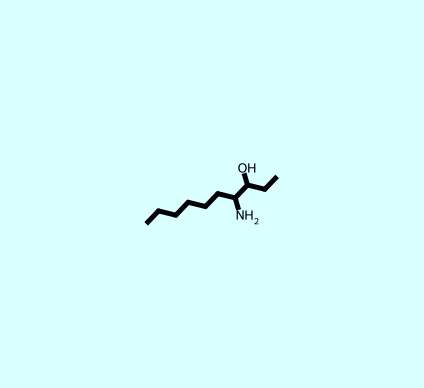 CCCCCCC(N)C(O)CC